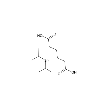 C[CH](C)[Sn][CH](C)C.O=C(O)CCCCC(=O)O